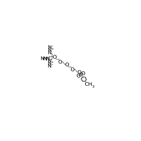 Cc1ccc(S(=O)(=O)OCCOCCOCCOCCOC(CN=[N+]=[N-])(CN=[N+]=[N-])CN=[N+]=[N-])cc1